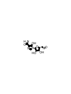 NC(=O)c1ncn([C@@H]2O[C@H](CN=O)[C@@H](O)[C@H]2O)c1O